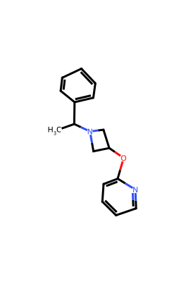 CC(c1ccccc1)N1CC(Oc2ccccn2)C1